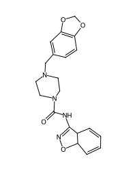 O=C(NC1=NOC2C=CC=CC12)N1CCN(Cc2ccc3c(c2)OCO3)CC1